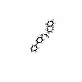 O=C(Nc1ccc(-c2ccncc2)cc1)[C@H]1COc2ccccc2O1